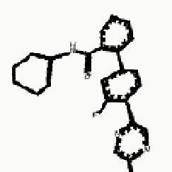 Nc1cnc(-c2ccc(-c3ccccc3C(=O)NC3CCCCC3)cc2F)cn1